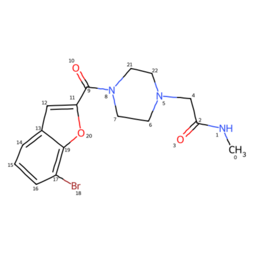 CNC(=O)CN1CCN(C(=O)c2cc3cccc(Br)c3o2)CC1